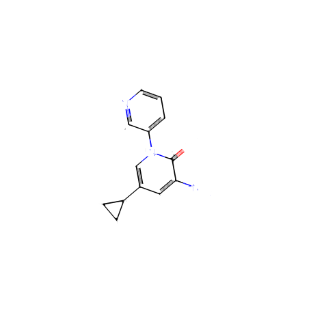 Nc1cc(C2CC2)cn(-c2cccnc2)c1=O